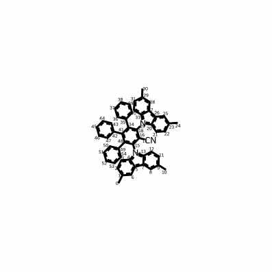 Cc1ccc2c(c1)c1cc(C)ccc1n2-c1c(C#N)c(-n2c3ccc(C)cc3c3cc(C)ccc32)c(-c2ccccc2)c(-c2ccccc2)c1-c1ccccc1